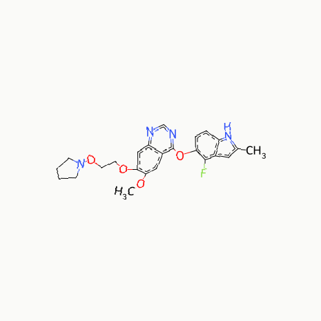 COc1cc2c(Oc3ccc4[nH]c(C)cc4c3F)ncnc2cc1OCCON1CCCC1